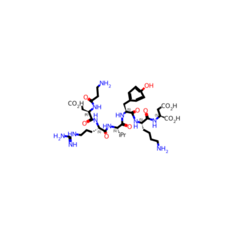 CC(C)[C@H](NC(=O)[C@H](CCCNC(=N)N)NC(=O)[C@@H](CC(=O)O)NC(=O)CCN)C(=O)N[C@@H](Cc1ccc(O)cc1)C(=O)N[C@@H](CCCCN)C(=O)N[C@@H](CC(=O)O)C(=O)O